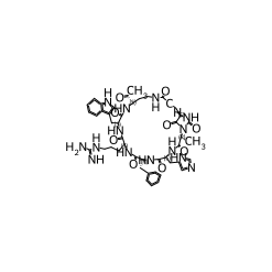 CC(=O)[C@@H]1CCNC(=O)CC[C@@H]2NC(=O)N(C2=O)[C@H](C)C(=O)N[C@@H](Cc2cnc[nH]2)C(=O)N[C@H](Cc2ccccc2)C(=O)N[C@@H](CCCNC(=N)N)C(=O)N[C@@H](Cc2c[nH]c3ccccc23)C(=O)N1